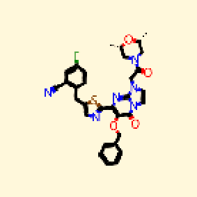 C[C@@H]1CN(C(=O)Cn2ccn3c(=O)c(OCc4ccccc4)c(-c4ncc(Cc5ccc(F)cc5C#N)s4)nc23)C[C@H](C)O1